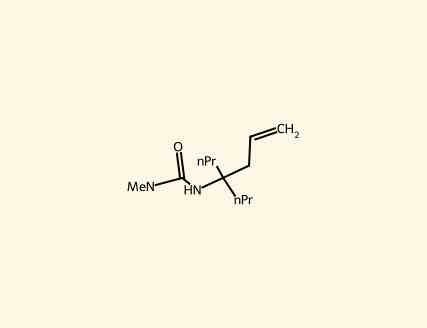 C=CCC(CCC)(CCC)NC(=O)NC